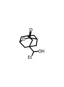 CCC(O)C12CC3CC(C1)OC(=O)C(C3)C2